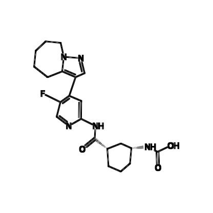 O=C(O)N[C@@H]1CCC[C@H](C(=O)Nc2cc(-c3cnn4c3CCCCC4)c(F)cn2)C1